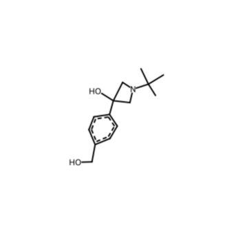 CC(C)(C)N1CC(O)(c2ccc(CO)cc2)C1